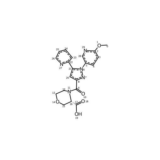 COc1ccc(-n2nc(C(=O)N3CCOC[C@H]3C(=O)O)cc2-c2ccccn2)cn1